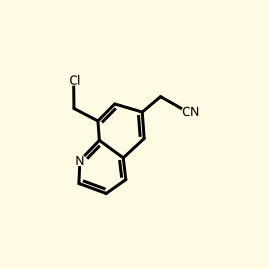 N#CCc1cc(CCl)c2ncccc2c1